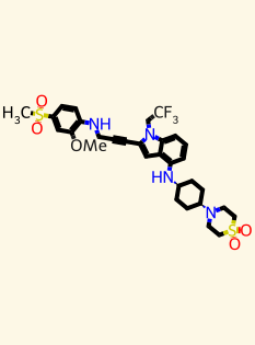 COc1cc(S(C)(=O)=O)ccc1NCC#Cc1cc2c(N[C@H]3CC[C@@H](N4CCS(=O)(=O)CC4)CC3)cccc2n1CC(F)(F)F